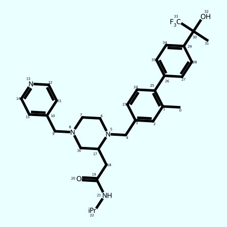 Cc1cc(CN2CCN(Cc3ccncc3)CC2CC(=O)NC(C)C)ccc1-c1ccc(C(C)(O)C(F)(F)F)cc1